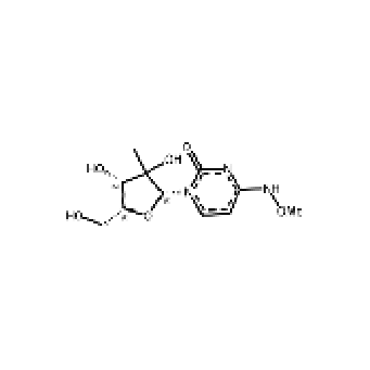 CONc1ccn([C@@H]2O[C@H](CO)[C@H](O)C2(C)O)c(=O)n1